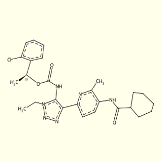 CCn1nnc(-c2ccc(NC(=O)C3CCCCC3)c(C)n2)c1NC(=O)O[C@@H](C)c1ccccc1Cl